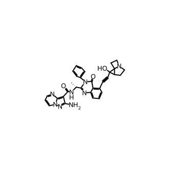 C[C@@H](NC(=O)c1c(N)nn2cccnc12)c1nc2cccc(C#CC3(O)C4CCN5CCC453)c2c(=O)n1-c1ccccc1